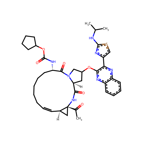 CC(=O)[C@@]12C[C@H]1/C=C\CCCCC[C@H](NC(=O)OC1CCCC1)C(=O)N1CC(Oc3nc4ccccc4nc3-c3csc(NC(C)C)n3)C[C@H]1C(=O)N2